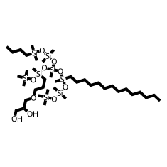 CCCCCCCCCCCCCC[Si](C)(O[Si](C)(C)O[Si](C)(C)C)O[Si](C)(O[Si](C)(C)O[Si](C)(C)CCCC)O[Si](C)(CCCOCC(O)CO)O[Si](C)(C)C